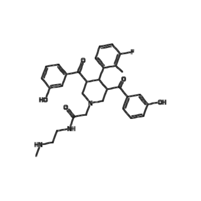 CNCCNC(=O)CN1CC(C(=O)c2cccc(O)c2)C(c2cccc(F)c2C)C(C(=O)c2cccc(O)c2)C1